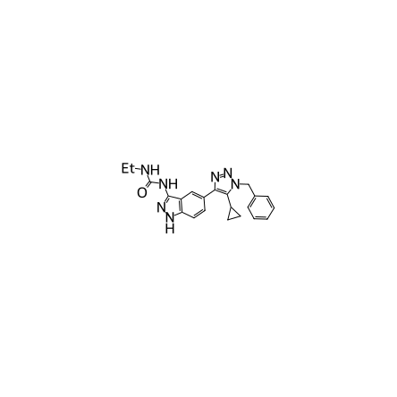 CCNC(=O)Nc1n[nH]c2ccc(-c3nnn(Cc4ccccc4)c3C3CC3)cc12